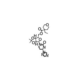 CCC1(C(=O)OC[C@H]2O[C@@H](n3ccc(-n4cncn4)nc3=O)[C@@H]3OC(C)(C)O[C@@H]32)CCOCC1